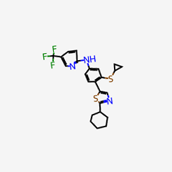 FC(F)(F)c1ccc(Nc2ccc(-c3cnc(C4CCCCC4)s3)c(SC3CC3)c2)nc1